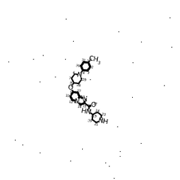 Cc1ccc(N2CCC(Oc3ccn4cc(C(=O)NC5CCNCC5)nc4c3)CC2)cc1